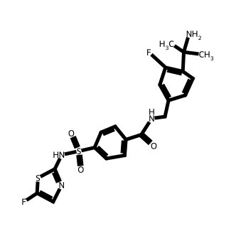 CC(C)(N)c1ccc(CNC(=O)c2ccc(S(=O)(=O)Nc3ncc(F)s3)cc2)cc1F